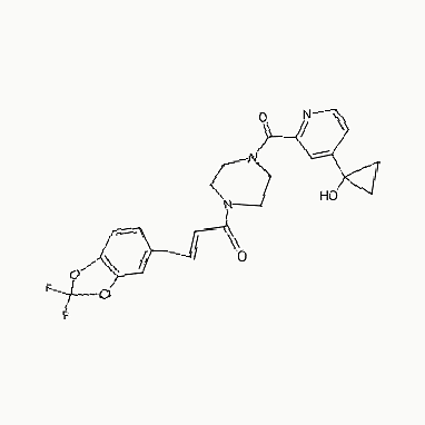 O=C(/C=C/c1ccc2c(c1)OC(F)(F)O2)N1CCN(C(=O)c2cc(C3(O)CC3)ccn2)CC1